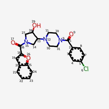 O=C(c1ccc(Cl)cc1)N1CCN(C2CN(C(=O)c3cc4ccccc4o3)CC2O)CC1